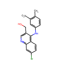 Cc1ccc(Nc2c(CO)cnc3cc(Br)ccc23)cc1[N+](=O)[O-]